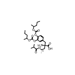 CCCC(C)OC(=O)Oc1ccc(CC(N)(C[C@H](C)OC(=O)C(C)C)C(=O)O)cc1OC(=O)OC(C)CCC